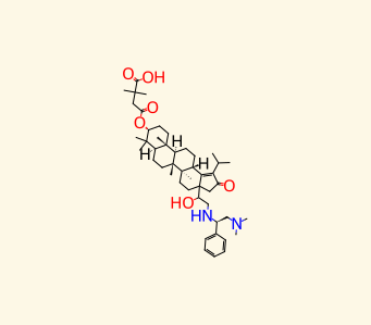 CC(C)C1=C2[C@H]3CC[C@@H]4[C@@]5(C)CC[C@H](OC(=O)CC(C)(C)C(=O)O)C(C)(C)[C@@H]5CC[C@@]4(C)[C@]3(C)CCC2(C(O)CN[C@@H](CN(C)C)c2ccccc2)CC1=O